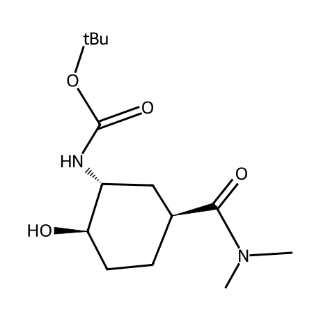 CN(C)C(=O)[C@H]1CC[C@@H](O)[C@H](NC(=O)OC(C)(C)C)C1